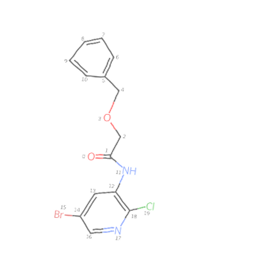 O=C(COCc1ccccc1)Nc1cc(Br)cnc1Cl